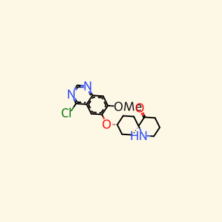 COc1cc2ncnc(Cl)c2cc1O[C@H]1CC[C@@]2(CC1)NCCCC2=O